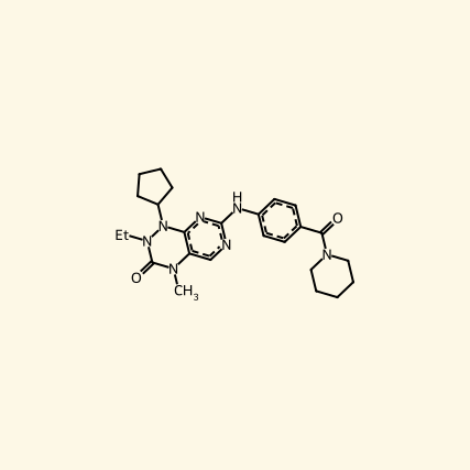 CCN1C(=O)N(C)c2cnc(Nc3ccc(C(=O)N4CCCCC4)cc3)nc2N1C1CCCC1